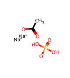 CC(=O)[O-].O=P([O-])(O)O.[Na+].[Na+]